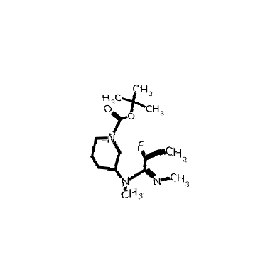 C=C(F)/C(=N\C)N(C)C1CCCN(C(=O)OC(C)(C)C)C1